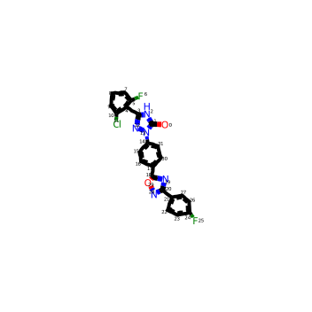 O=c1[nH]c(-c2c(F)cccc2Cl)nn1-c1ccc(-c2nc(-c3ccc(F)cc3)no2)cc1